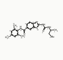 CCC(C)CC(C)NC(=O)Nc1nc2ccc(C(=O)Nc3c(C)cc(C)cc3C)cc2s1